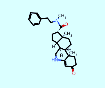 CN(CCc1ccccc1)C(=O)[C@H]1CC[C@H]2[C@@H]3CNC4=CC(=O)CC[C@]4(C)[C@H]3CC[C@]12C